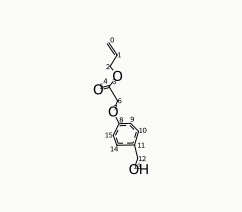 C=CCOC(=O)COc1ccc(CO)cc1